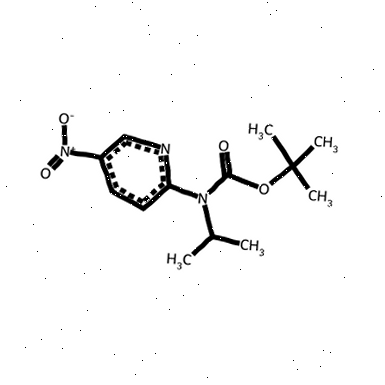 CC(C)N(C(=O)OC(C)(C)C)c1ccc([N+](=O)[O-])cn1